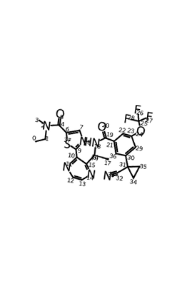 CCN(C)C(=O)c1cnc(-c2nccnc2[C@H](C)NC(=O)c2cc(OC(F)(F)F)cc(C3(C#N)CC3)c2)s1